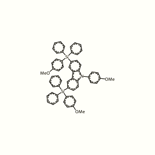 COc1ccc(-n2c3ccc([Si](c4ccccc4)(c4ccccc4)c4ccc(OC)cc4)cc3c3cc([Si](c4ccccc4)(c4ccccc4)c4ccc(OC)cc4)ccc32)cc1